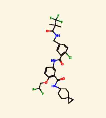 CC(C)(C(=O)NCc1ccc(Cl)c(C(=O)Nc2ccc(OCC(F)F)c(C(=O)NC3CCC4(CC3)CC4)c2)c1)C(F)(F)F